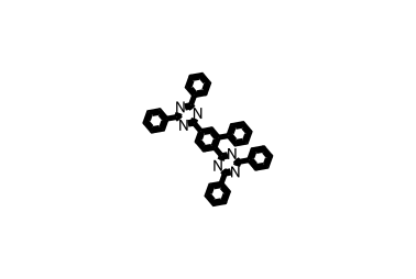 c1ccc(-c2nc(-c3ccccc3)nc(-c3ccc(-c4nc(-c5ccccc5)nc(-c5ccccc5)n4)c(-c4ccccc4)c3)n2)cc1